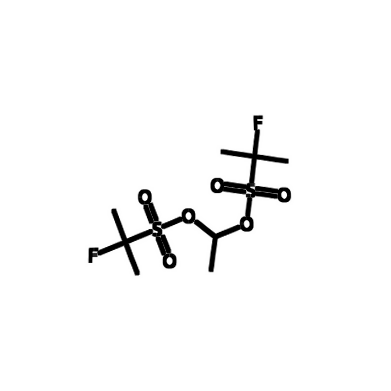 CC(OS(=O)(=O)C(C)(C)F)OS(=O)(=O)C(C)(C)F